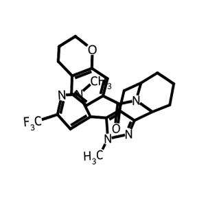 Cn1nc(C(F)(F)F)cc1-c1c2c(nn1C)C1CCCC(C2)N1C(=O)c1ccc2c(c1)OCCC2